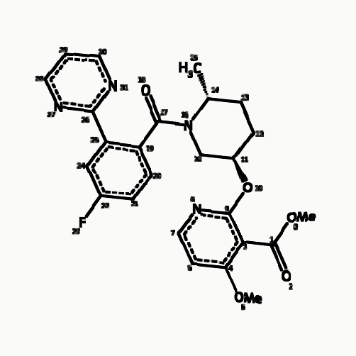 COC(=O)c1c(OC)ccnc1O[C@@H]1CC[C@@H](C)N(C(=O)c2ccc(F)cc2-c2ncccn2)C1